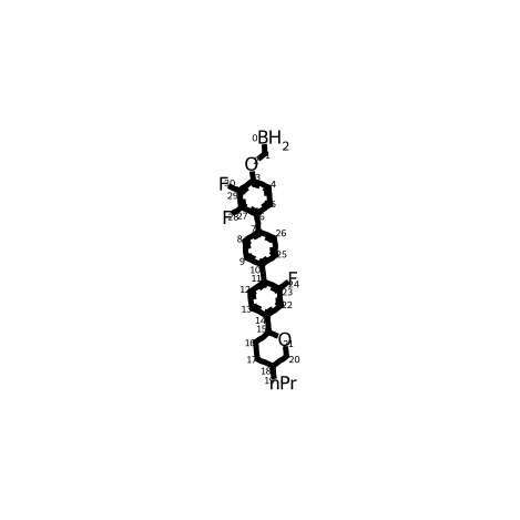 BCOc1ccc(-c2ccc(-c3ccc(C4CCC(CCC)CO4)cc3F)cc2)c(F)c1F